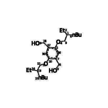 CCCCC(CC)COc1cc(CO)c(OCC(CC)CCCC)cc1CO